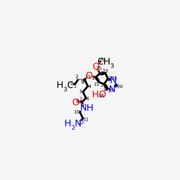 CCC[C@@H](CCCC(=O)NCCN)Oc1cc2c(O)ncnc2cc1OC